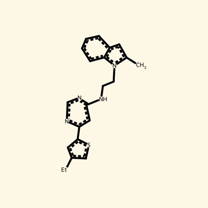 CCc1csc(-c2cc(NCCn3c(C)cc4ccccc43)ncn2)c1